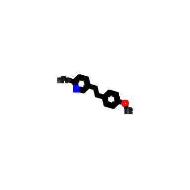 CCCc1ccc(CCc2ccc(OCC)cc2)cn1